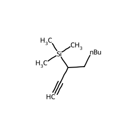 C#CC(CCCCC)[Si](C)(C)C